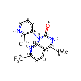 CNc1nc(=O)n(-c2cccnc2C(F)(F)F)c2nc(C(F)(F)F)ccc12